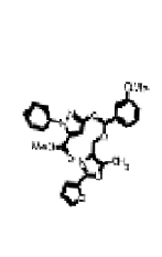 COC(=O)c1cc(OC(OCc2nc(-c3ccco3)oc2C)c2cccc(OC)c2)nn1-c1ccccc1